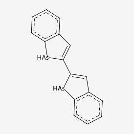 C1=C(C2=Cc3ccccc3[AsH]2)[AsH]c2ccccc21